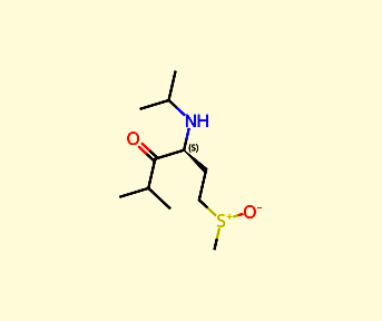 CC(C)N[C@@H](CC[S+](C)[O-])C(=O)C(C)C